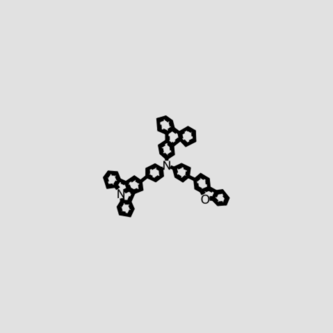 c1ccc2c(c1)oc1cc(-c3ccc(N(c4ccc(-c5cc6c7ccccc7n7c8ccccc8c(c5)c67)cc4)c4ccc5c6ccccc6c6ccccc6c5c4)cc3)ccc12